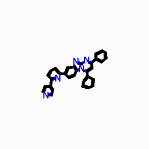 c1ccc(-c2cc(-c3ccccc3)n3c(n2)nc2cc(-c4cccc(-c5ccncc5)n4)ccc23)cc1